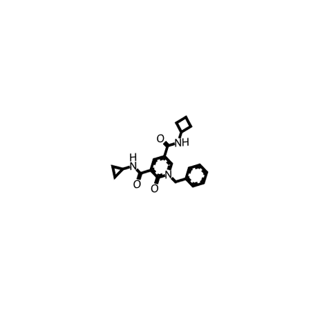 O=C(NC1CCC1)c1cc(C(=O)NC2CC2)c(=O)n(Cc2ccccc2)c1